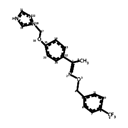 C/C(=N\OCc1ccc(C(F)(F)F)cc1)c1ccc(OCn2cncn2)cc1